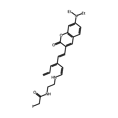 C=C/C=C(\C=C/NCCNC(=O)CI)/C=C/c1cc2ccc(N(CC)CC)cc2oc1=O